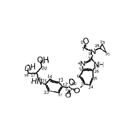 O=CN(c1nc2cc(OS(=O)(=O)c3ccc(NC(CO)CO)cc3)ccc2[nH]1)C1CC1